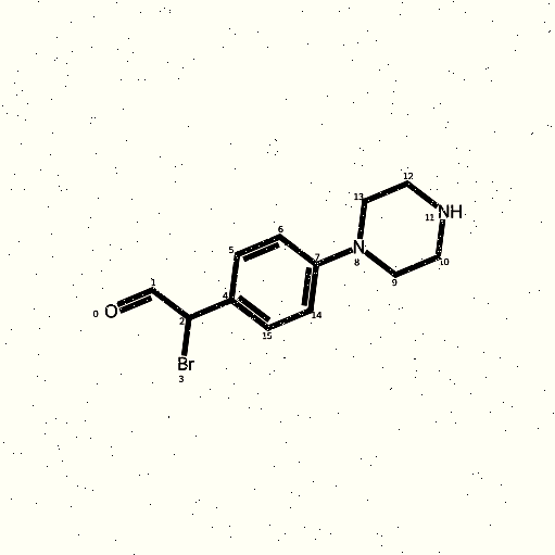 O=CC(Br)c1ccc(N2CCNCC2)cc1